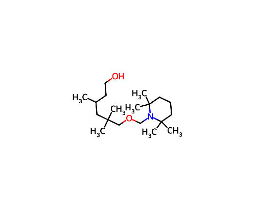 CC(CCO)CC(C)(C)COCN1C(C)(C)CCCC1(C)C